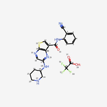 N#Cc1ccccc1NC(=O)c1csc2ncc(N[C@@H]3CCCNC3)nc12.O=C(O)C(F)(F)F